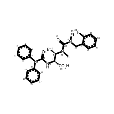 CC[C@H]([C@H](NC(=O)N(c1ccccc1)c1ccccc1)C(=O)O)N(C)C(=O)N(CC)Cc1ccccc1F